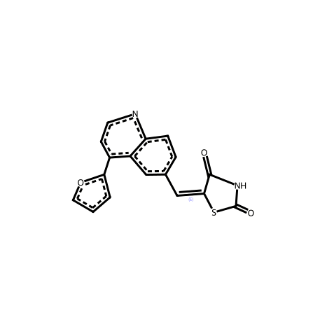 O=C1NC(=O)/C(=C\c2ccc3nccc(-c4ccco4)c3c2)S1